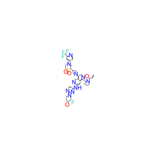 C=CC(=O)N1CCCC1c1ncc(N2CC(C3CN(c4ccnc(C(F)(F)F)c4)CCS3(=O)=O)C2)c2cnc(Nc3ccnc(N4CC[C@@H](OC)[C@@H](F)C4)n3)cc12